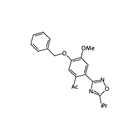 COc1cc(-c2noc(C(C)C)n2)c(C(C)=O)cc1OCc1ccccc1